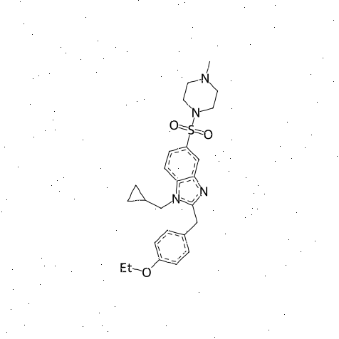 CCOc1ccc(Cc2nc3cc(S(=O)(=O)N4CCN(C)CC4)ccc3n2CC2CC2)cc1